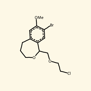 COc1cc2c(cc1Br)C(COCCCl)OCCC2